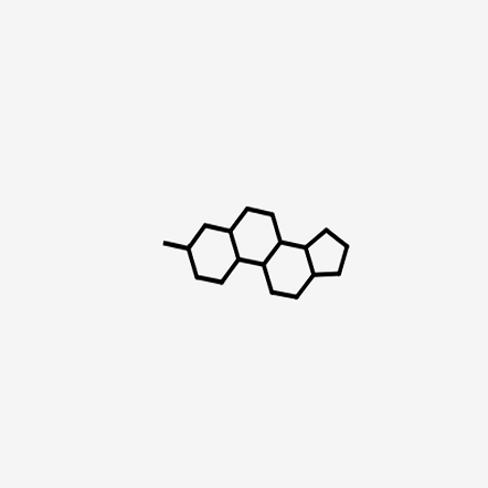 C[C]1CCC2C(CCC3C4CCCC4CCC23)C1